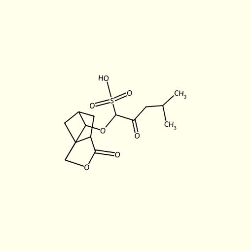 CC(C)CC(=O)C(OC1C2CC3C(=O)OC1C3C2)S(=O)(=O)O